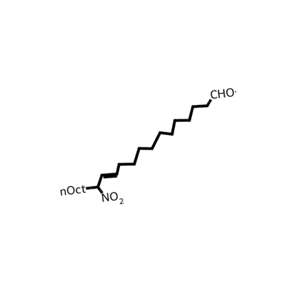 CCCCCCCCC(/C=C/CCCCCCCCCC[C]=O)[N+](=O)[O-]